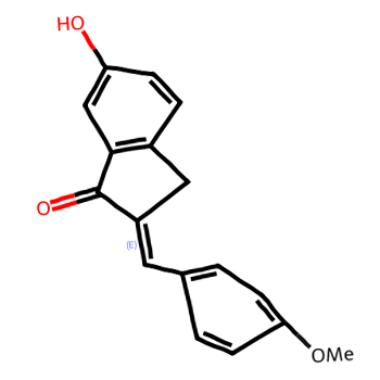 COc1ccc(/C=C2\Cc3ccc(O)cc3C2=O)cc1